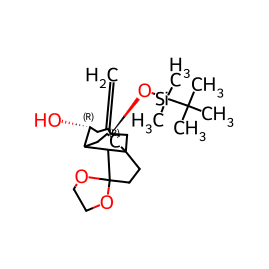 C=C1C[C@@H](O)C2CCCC3(CCC4(OCCO4)C23)C[C@H]1O[Si](C)(C)C(C)(C)C